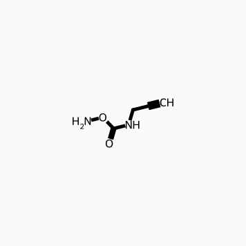 C#CCNC(=O)ON